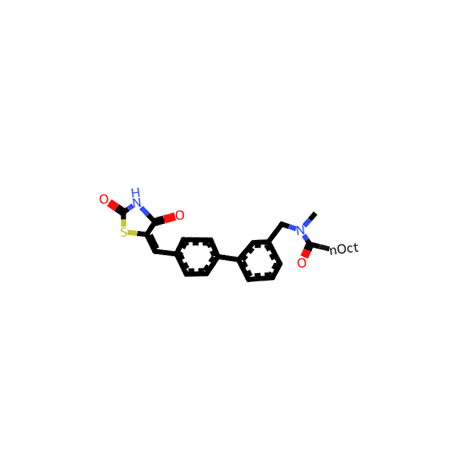 CCCCCCCCC(=O)N(C)Cc1cccc(-c2ccc(C=C3SC(=O)NC3=O)cc2)c1